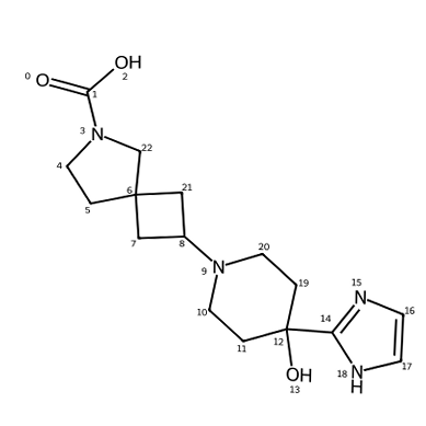 O=C(O)N1CCC2(CC(N3CCC(O)(c4ncc[nH]4)CC3)C2)C1